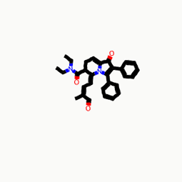 CCN(CC)C(=O)C1CC=C2C(=O)C(c3ccccc3)=C(c3ccccc3)N2C1=CC=C(C)C=O